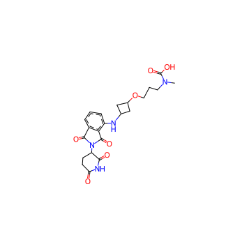 CN(CCCOC1CC(Nc2cccc3c2C(=O)N(C2CCC(=O)NC2=O)C3=O)C1)C(=O)O